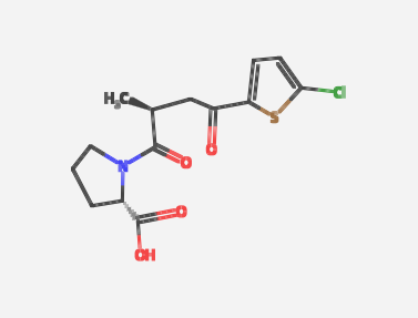 C[C@@H](CC(=O)c1ccc(Cl)s1)C(=O)N1CCC[C@H]1C(=O)O